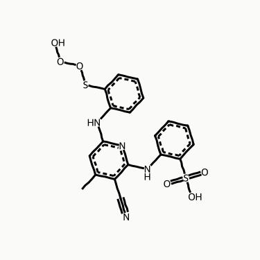 Cc1cc(Nc2ccccc2SOOO)nc(Nc2ccccc2S(=O)(=O)O)c1C#N